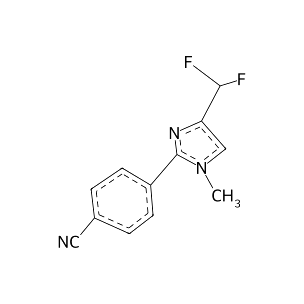 Cn1cc(C(F)F)nc1-c1ccc(C#N)cc1